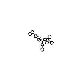 CC1(C)c2cc(C3=C4C=CC=CC4CC=C3)ccc2-c2ccc(N(c3ccc(C4=CCCC=C4n4c5c(c6ccccc64)CCC=C5)cc3)c3ccc(C4C=CC=CC4)cc3)cc21